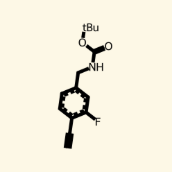 C#Cc1ccc(CNC(=O)OC(C)(C)C)cc1F